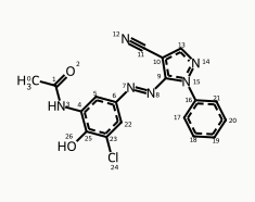 CC(=O)Nc1cc(N=Nc2c(C#N)cnn2-c2ccccc2)cc(Cl)c1O